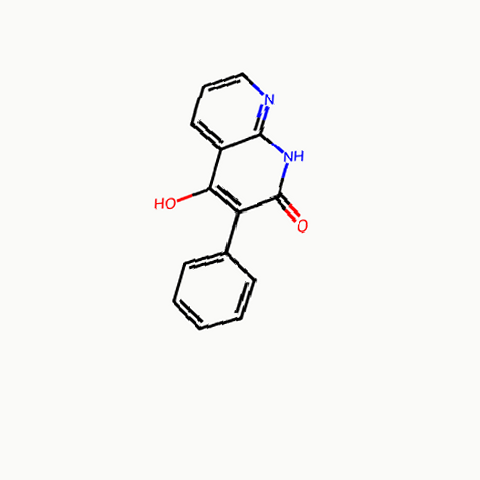 O=c1[nH]c2ncccc2c(O)c1-c1ccccc1